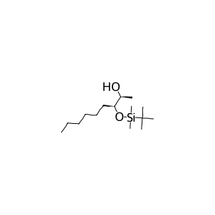 CCCCCC[C@H](O[Si](C)(C)C(C)(C)C)[C@H](C)O